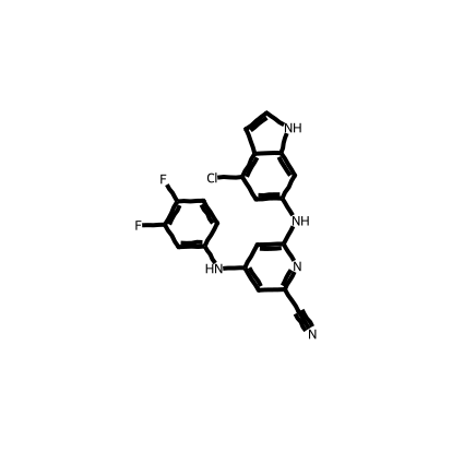 N#Cc1cc(Nc2ccc(F)c(F)c2)cc(Nc2cc(Cl)c3cc[nH]c3c2)n1